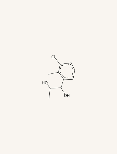 Cc1c(Cl)cccc1C(O)C(C)O